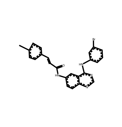 Cc1ccc(C=CC(=O)Nc2ccc3ncnc(Nc4cccc(Br)c4)c3c2)cc1